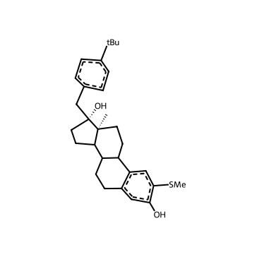 CSc1cc2c(cc1O)CCC1C2CC[C@@]2(C)C1CC[C@@]2(O)Cc1ccc(C(C)(C)C)cc1